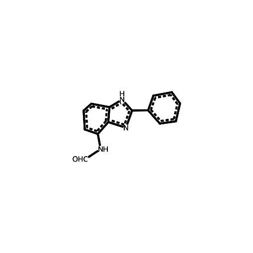 O=CNc1cccc2[nH]c(-c3ccccc3)nc12